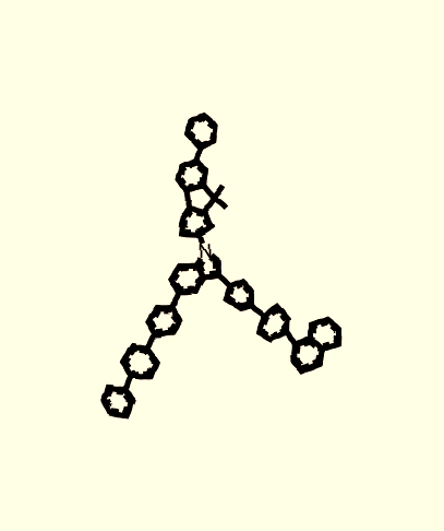 CC1(C)c2cc(-c3ccccc3)ccc2-c2ccc(-n3cc(-c4ccc(-c5ccc(-c6cccc7ccccc67)cc5)cc4)c4cc(-c5ccc(-c6ccc(-c7ccccc7)cc6)cc5)ccc43)cc21